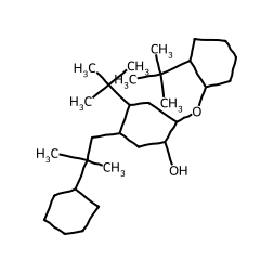 CC(C)(C)C1CC(OC2CCCCC2C(C)(C)C)C(O)CC1CC(C)(C)C1CCCCC1